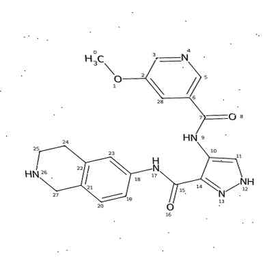 COc1cncc(C(=O)Nc2c[nH]nc2C(=O)Nc2ccc3c(c2)CCNC3)c1